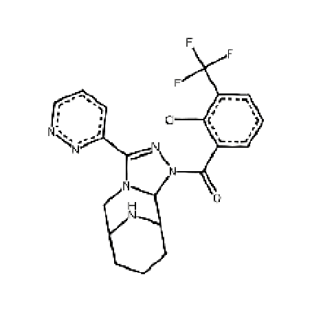 O=C(c1cccc(C(F)(F)F)c1Cl)N1N=C(c2cccnn2)N2CC3CCCC(N3)C21